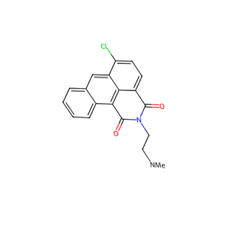 CNCCN1C(=O)c2ccc(Cl)c3cc4ccccc4c(c23)C1=O